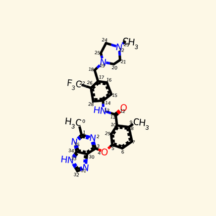 Cc1nc(Oc2ccc(C)c(C(=O)Nc3ccc(CN4CCN(C)CC4)c(C(F)(F)F)c3)c2)c2nc[nH]c2n1